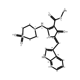 CC(C)OC(=O)C1=C(NN2CCS(=O)(=O)CC2)O/C(=C\c2c[nH]c3ncccc23)C1=O